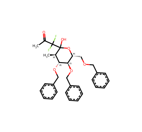 CC(=O)C(F)(F)C1(O)O[C@H](COCc2ccccc2)[C@@H](OCc2ccccc2)[C@H](OCc2ccccc2)[C@H]1C